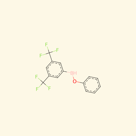 FC(F)(F)c1cc(BOc2ccccc2)cc(C(F)(F)F)c1